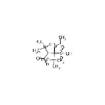 C=CCC(C(C(=O)[O-])[N+](C)(C)C)(C(C)(C)C)S(=O)(=O)O